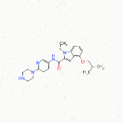 CCn1c(C(=O)NC2=CN=C(N3CCNCC3)CC2)cc2c(OCC(C)C)cccc21